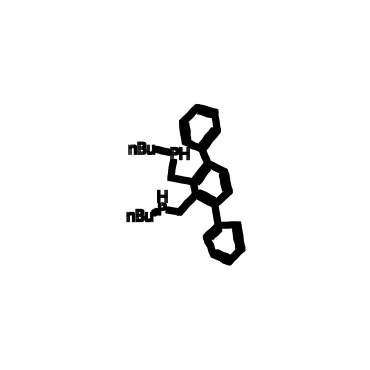 CCCCPCc1c(-c2ccccc2)ccc(-c2ccccc2)c1CPCCCC